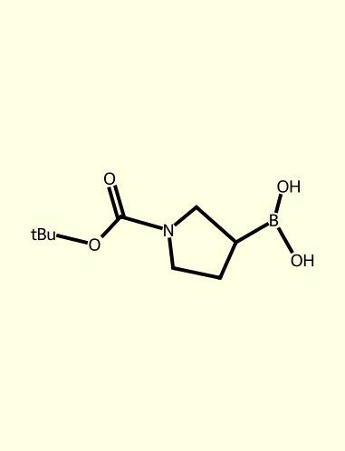 CC(C)(C)OC(=O)N1CCC(B(O)O)C1